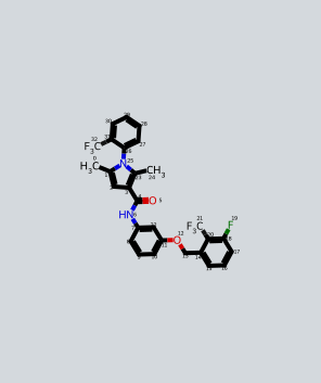 Cc1cc(C(=O)Nc2cccc(OCc3cccc(F)c3C(F)(F)F)c2)c(C)n1-c1ccccc1C(F)(F)F